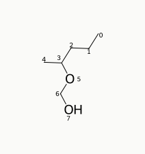 CCCC(C)OCO